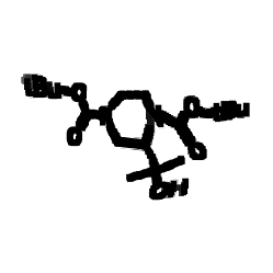 CC(C)(C)OC(=O)N1CCN(C(=O)OC(C)(C)C)[C@@H](C(C)(C)O)C1